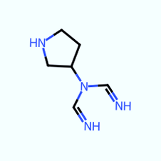 N=CN(C=N)C1CCNC1